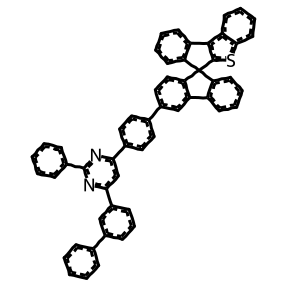 c1ccc(-c2cccc(-c3cc(-c4ccc(-c5ccc6c(c5)-c5ccccc5C65c6ccccc6-c6c5sc5ccccc65)cc4)nc(-c4ccccc4)n3)c2)cc1